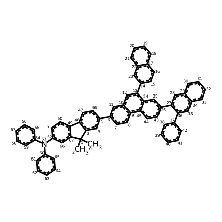 CC1(C)c2cc(-c3ccc4c(c3)cc(-c3ccc5ccccc5c3)c3cc(-c5cc6ccccc6cc5-c5ccccc5)ccc34)ccc2-c2ccc(N(c3ccccc3)c3ccccc3)cc21